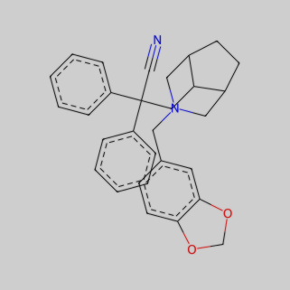 N#CC(CC1C2CCC1CN(Cc1ccc3c(c1)OCO3)C2)(c1ccccc1)c1ccccc1